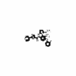 CC(=O)OC[C@H]1CCCN1c1c(NC(=O)c2csc(-c3ccnnc3)n2)ccc(Oc2ccccc2F)c1C(F)(F)F